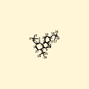 CC(C)(C)CC1=Cc2c(cnc3cc(CC(C)(C)C)ccc23)C(C(C)(C)C)C=C1